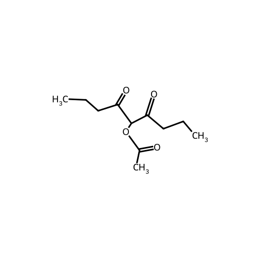 CCCC(=O)C(OC(C)=O)C(=O)CCC